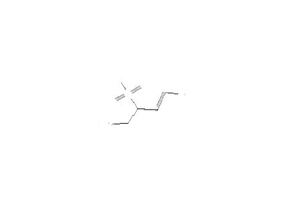 NCC(C=CO)S(=O)(=O)O